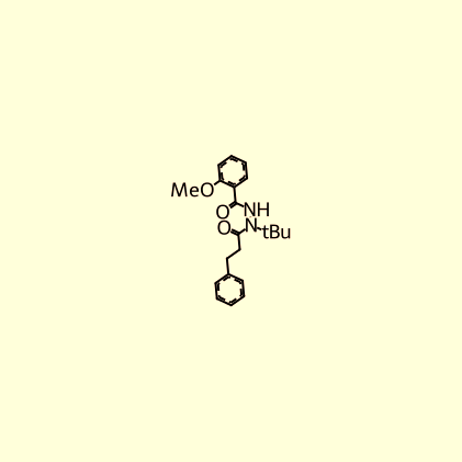 COc1ccccc1C(=O)NN(C(=O)CCc1ccccc1)C(C)(C)C